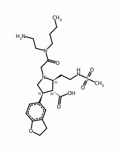 CCCCN(CCN)C(=O)CN1C[C@H](c2ccc3c(c2)CCO3)[C@@H](C(=O)O)[C@@H]1CCNS(C)(=O)=O